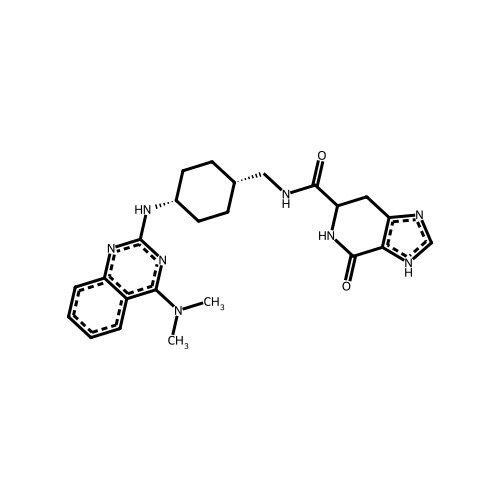 CN(C)c1nc(N[C@H]2CC[C@@H](CNC(=O)C3Cc4nc[nH]c4C(=O)N3)CC2)nc2ccccc12